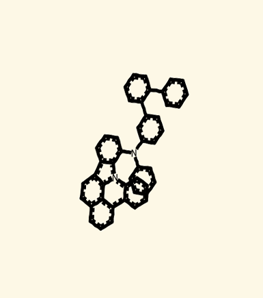 c1ccc(-c2ccccc2-c2cccc(N(c3ccccc3)c3cccc4c5ccc6cccc7c8ccccc8n(c34)c5c67)c2)cc1